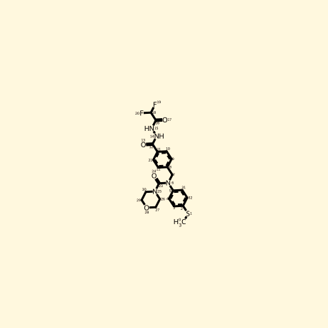 CSc1ccc(N(Cc2ccc(C(=O)NNC(=O)C(F)F)cc2)C(=O)N2CCOCC2)cc1